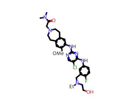 CCN(CCO)Cc1cc(Nc2nc(Nc3cc4c(cc3OC)CCN(CC(=O)N(C)C)CC4)ncc2Cl)ccc1F